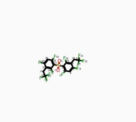 O=S(=O)(c1c(F)cc(F)c(CC(F)(F)F)c1F)c1c(F)cc(F)c(CC(F)(F)F)c1F